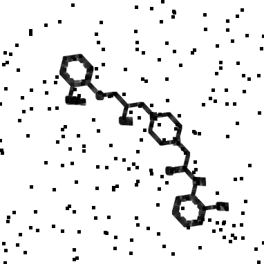 COc1ccccc1OCC(O)CN1CCN(CC(=O)Nc2ccccc2C#N)CC1